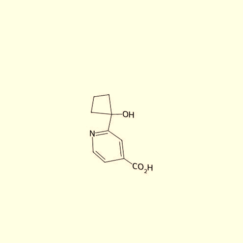 O=C(O)c1ccnc(C2(O)CCC2)c1